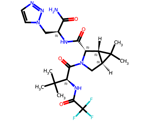 CC(C)(C)[C@H](NC(=O)C(F)(F)F)C(=O)N1C[C@H]2[C@H]([C@H]1C(=O)N[C@@H](Cn1ccnn1)C(N)=O)C2(C)C